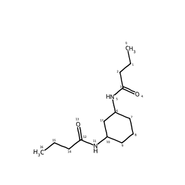 CCCC(=O)NC1CCCC(NC(=O)CCC)C1